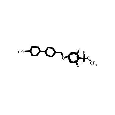 CCCC1CCC(C2CCC(COc3cc(F)c(C(F)(F)OC(F)(F)F)c(F)c3)CC2)CC1